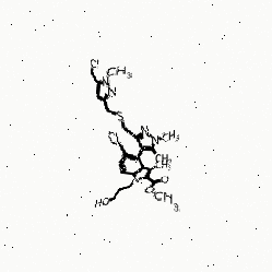 COC(=O)c1c(C)c2c(-c3c(CSCc4cc(CCl)n(C)n4)nn(C)c3C)c(Cl)ccc2n1CCCO